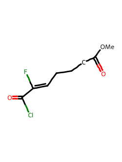 COC(=O)CCCC=C(F)C(=O)Cl